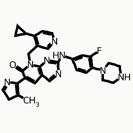 CC1=C(c2cc3cnc(Nc4ccc(N5CCNCC5)c(F)c4)nc3n(Cc3cnccc3C3CC3)c2=O)N=CC1